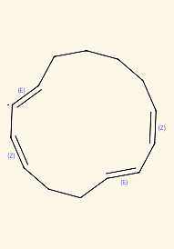 [C]1=C/CCCC/C=C\C=C\CC\C=C/1